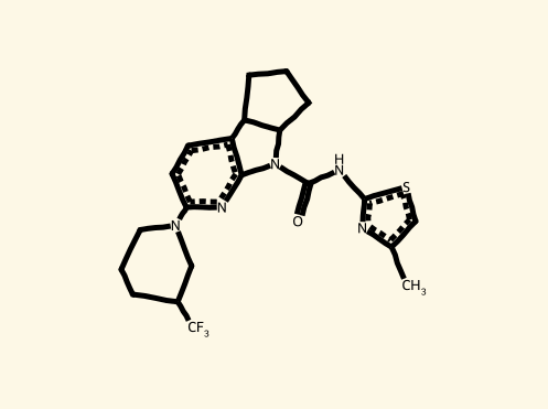 Cc1csc(NC(=O)N2c3nc(N4CCCC(C(F)(F)F)C4)ccc3C3CCCC32)n1